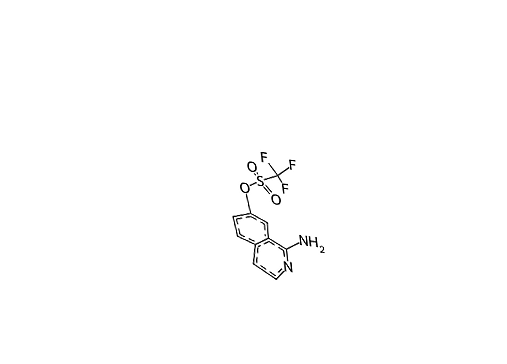 Nc1nccc2ccc(OS(=O)(=O)C(F)(F)F)cc12